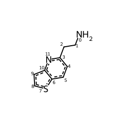 NCCc1ccc2sccc2n1